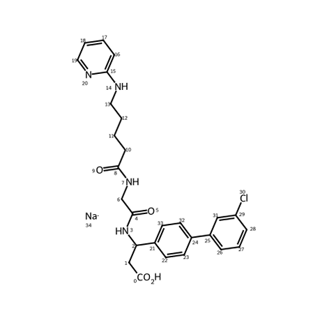 O=C(O)CC(NC(=O)CNC(=O)CCCCNc1ccccn1)c1ccc(-c2cccc(Cl)c2)cc1.[Na]